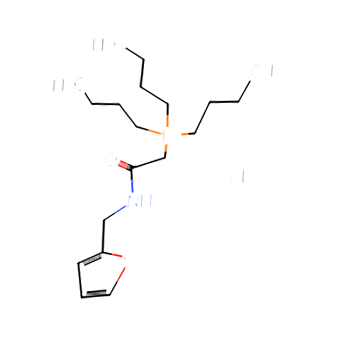 CCCC[P+](CCCC)(CCCC)CC(=O)NCc1ccco1.[Cl-]